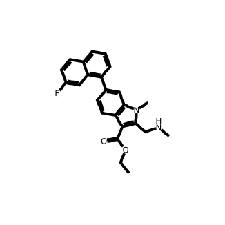 CCOC(=O)c1c(CNC)n(C)c2cc(-c3cccc4ccc(F)cc34)ccc12